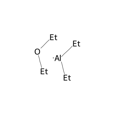 CCOCC.C[CH2][Al][CH2]C